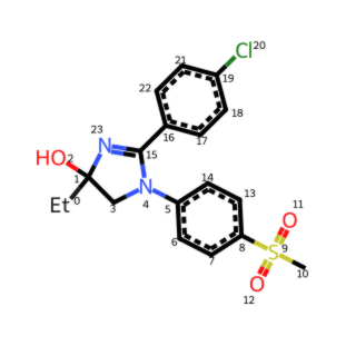 CCC1(O)CN(c2ccc(S(C)(=O)=O)cc2)C(c2ccc(Cl)cc2)=N1